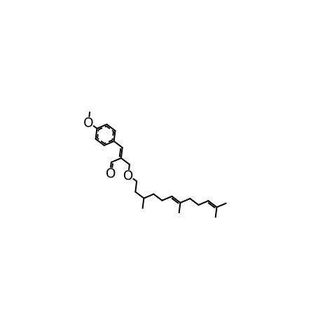 COc1ccc(/C=C(\C=O)COCCC(C)CC/C=C(\C)CCC=C(C)C)cc1